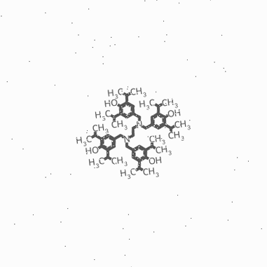 CC(C)c1cc(CN(CCN(Cc2cc(C(C)C)c(O)c(C(C)C)c2)Cc2cc(C(C)C)c(O)c(C(C)C)c2)Cc2cc(C(C)C)c(O)c(C(C)C)c2)cc(C(C)C)c1O